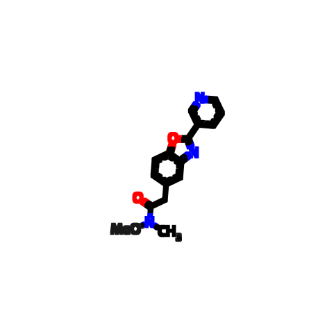 CON(C)C(=O)Cc1ccc2oc(-c3cccnc3)nc2c1